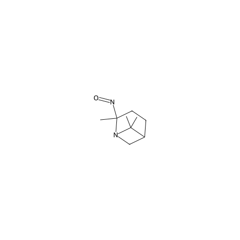 CC1(N=O)CCC2CN1C2(C)C